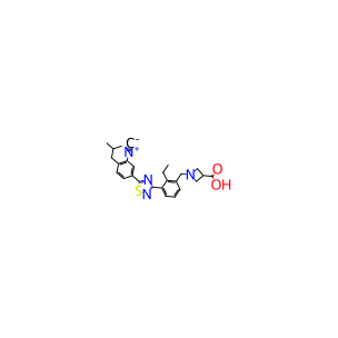 [C-]#[N+]c1cc(-c2nc(-c3cccc(CN4CC(C(=O)O)C4)c3CC)ns2)ccc1CC(C)C